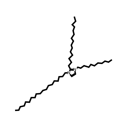 CCCCCCCCCCCCCCCCCCCn1cc[n+](CCCCCCCCCCC)c1CCCCCCCCCCCCCCC